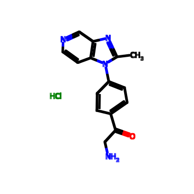 Cc1nc2cnccc2n1-c1ccc(C(=O)CN)cc1.Cl